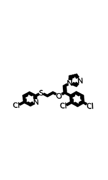 Clc1ccc(SCCOC(=Cn2ccnc2)c2ccc(Cl)cc2Cl)nc1